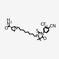 CC1(C)C(=O)N(c2ccc(C#N)c(C(F)(F)F)c2)C(=S)N1CCCCCCCCN1CC[C@@H](C(N)=O)C1